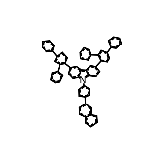 c1ccc(-c2ccc(-c3ccc4c(c3)c3cc(-c5ccc(-c6ccccc6)cc5-c5ccccc5)ccc3n4-c3ccc(-c4ccc5ccccc5c4)cc3)c(-c3ccccc3)c2)cc1